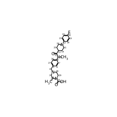 C[C@H]1CN(Cc2ccc(N(C)C(=O)C3CCN(c4ccc(F)cc4)CC3)cc2)CCN1C(=O)O